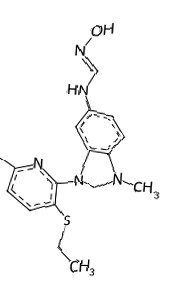 CCSc1ccc(Cl)nc1N1CN(C)c2ccc(NC=NO)cc21